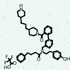 O=C(CCCc1ccccc1)N(CCc1ccc(O)cc1)Cc1cccc(-c2ccccc2C(=O)N2CCC(CCCC3CCNCC3)CC2)c1.O=C(O)C(F)(F)F